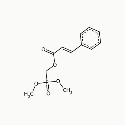 COP(=O)(COC(=O)C=Cc1ccccc1)OC